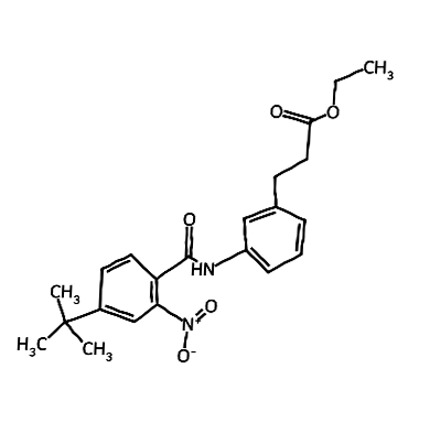 CCOC(=O)CCc1cccc(NC(=O)c2ccc(C(C)(C)C)cc2[N+](=O)[O-])c1